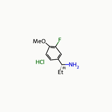 CC[C@@H](N)c1ccc(OC)c(F)c1.Cl